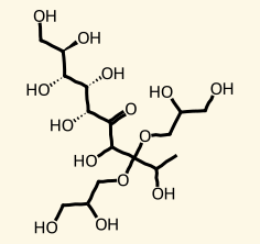 CC(O)C(OCC(O)CO)(OCC(O)CO)C(O)C(=O)[C@H](O)[C@@H](O)[C@H](O)[C@H](O)CO